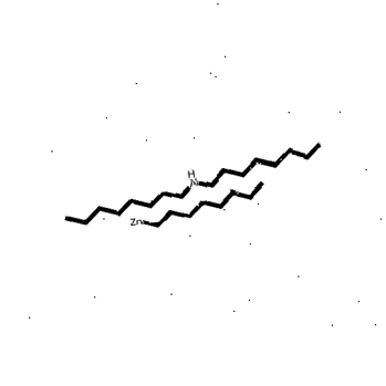 CCCCCCC[CH2][AlH][CH2]CCCCCCC.CCCCCCC[CH2][Zn]